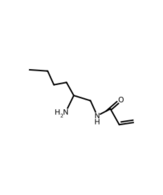 C=CC(=O)NCC(N)CCCC